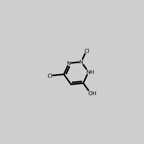 OC1=CC(Cl)=NN(Cl)N1